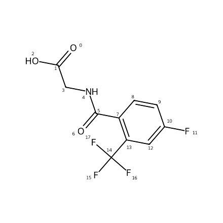 O=C(O)CNC(=O)c1ccc(F)cc1C(F)(F)F